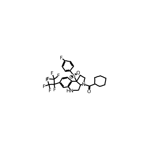 O=C(C1CCCCC1)N1CCC2(S(=O)(=O)c3ccc(F)cc3)c3ccc(C(F)(C(F)(F)F)C(F)(F)F)cc3NCC12